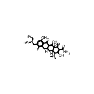 CCCN(Cc1cc(O)c2c(c1F)C[C@H]1C[C@H]3[C@H](N(C)C)C(O)=C(C(N)=O)C(=O)[C@@]3(O)C(O)=C1C2=O)CC(C)C